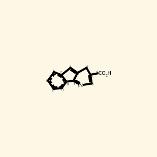 O=C(O)C1=CN=C2C(=Cc3ccccc32)C1